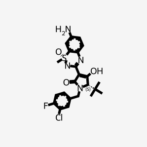 CC(C)(C)[C@H]1C(O)=C(C2=Nc3ccc(N)cc3S(C)(=O)=N2)C(=O)N1Cc1ccc(F)c(Cl)c1